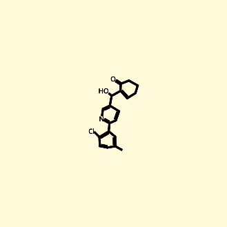 Cc1ccc(Cl)c(-c2ccc(C(O)C3=CCCCC3=O)cn2)c1